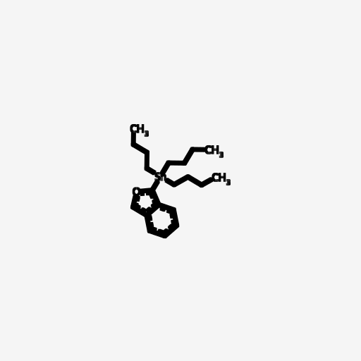 CCC[CH2][Sn]([CH2]CCC)([CH2]CCC)[c]1occ2ccccc12